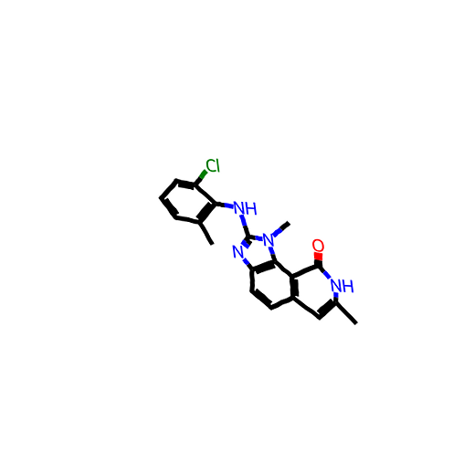 Cc1cc2ccc3nc(Nc4c(C)cccc4Cl)n(C)c3c2c(=O)[nH]1